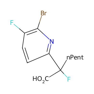 CCCCCC(F)(C(=O)O)c1ccc(F)c(Br)n1